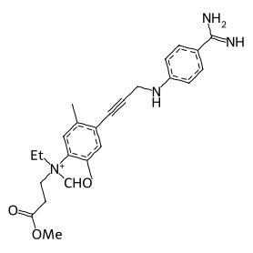 CC[N+](C=O)(CCC(=O)OC)c1cc(C)c(C#CCNc2ccc(C(=N)N)cc2)cc1C